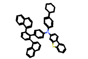 c1cc(-c2cccc3ccccc23)c(-c2ccc(N(c3ccc(C4CCCCC4)cc3)c3ccc4c(c3)sc3ccccc34)cc2)c(-c2cccc3ccccc23)c1